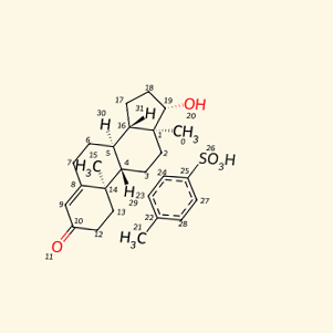 C[C@]12CC[C@H]3[C@@H](CCC4=CC(=O)CC[C@@]43C)[C@@H]1CC[C@@H]2O.Cc1ccc(S(=O)(=O)O)cc1